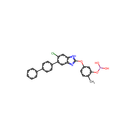 Cc1ccc(Oc2nc3cc(-c4ccc(-c5ccccc5)cc4)c(Cl)cc3[nH]2)cc1OP(O)O